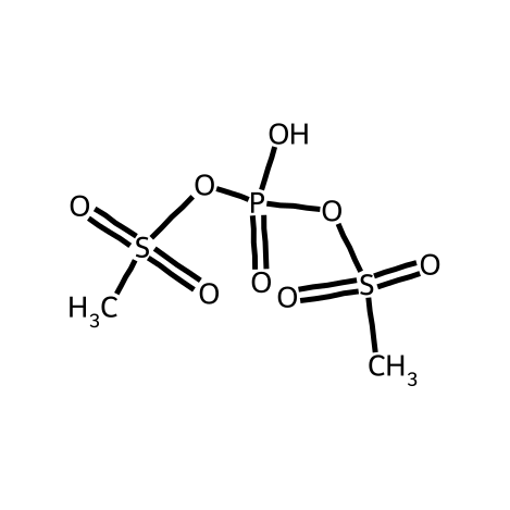 CS(=O)(=O)OP(=O)(O)OS(C)(=O)=O